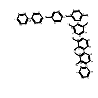 Cc1ccc(C)cc1.Cc1cccc(C)c1.Cc1ccccc1.Cc1ccccc1C.Cc1ccccc1C.c1ccccc1.c1ccccc1.c1ccccc1